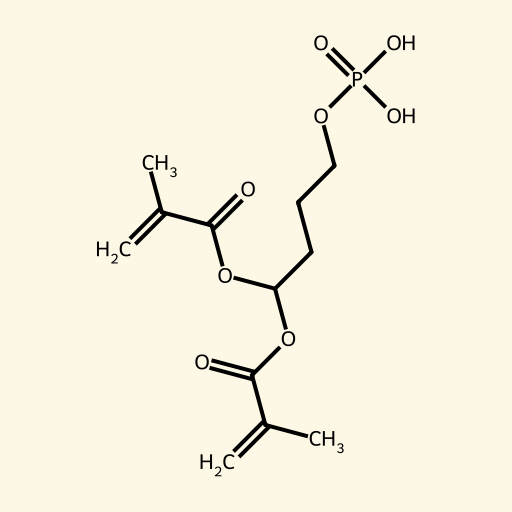 C=C(C)C(=O)OC(CCCOP(=O)(O)O)OC(=O)C(=C)C